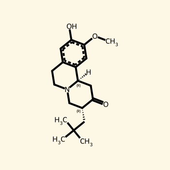 COc1cc2c(cc1O)CCN1C[C@@H](CC(C)(C)C)C(=O)C[C@H]21